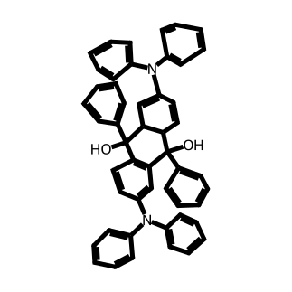 OC1(c2ccccc2)c2ccc(N(c3ccccc3)c3ccccc3)cc2C(O)(c2ccccc2)C2C=CC(N(c3ccccc3)c3ccccc3)=CC21